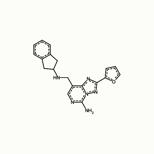 Nc1ncc(CNC2Cc3ccccc3C2)c2nc(-c3ccco3)nn12